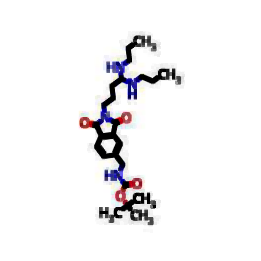 CCCNC(CCCN1C(=O)c2ccc(CNC(=O)OC(C)(C)C)cc2C1=O)NCCC